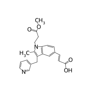 COC(=O)CCn1c(C)c(Cc2cccnc2)c2cc(C=CC(=O)O)ccc21